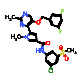 Cc1ncc(OCc2cc(F)cc(F)c2)c(-c2cc(C(=O)Nc3cc(Cl)cc(S(C)(=O)=O)c3)cn2C)n1